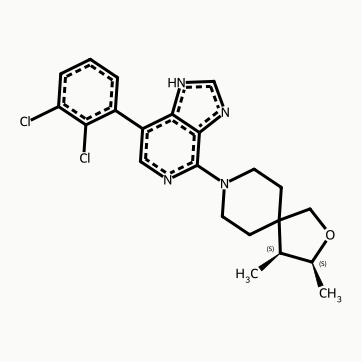 C[C@@H]1OCC2(CCN(c3ncc(-c4cccc(Cl)c4Cl)c4[nH]cnc34)CC2)[C@@H]1C